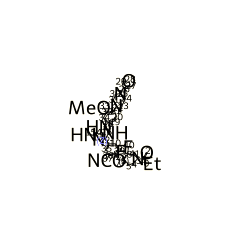 CCC(=O)N1CC[C@H](Oc2ccc(/C(=N/C=N)NNc3ccc(N4CCN(C5COC5)CC4)c(OC)c3)cc2C#N)C(F)(F)C1